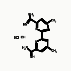 Cc1cc(C(=N)N)nc(-c2cc(C)cc(C(=N)N)n2)c1.Cl.Cl